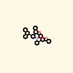 c1ccc(N(c2ccc(-c3cc4ccccc4c4ccccc34)cc2)c2cccc3oc4c5ccccc5ccc4c23)c(-c2ccc3oc4ccccc4c3c2)c1